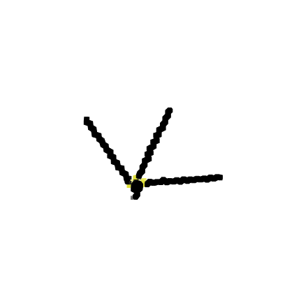 [CH2]Cc1cc(SCCCCCCCCCCCCCCCCCCCCCCC)c(SCCCCCCCCCCCCCCCCCCCCCCC)c(SCCCCCCCCCCCCCCCCCCCCCCC)c1